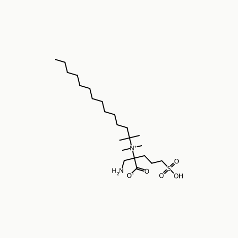 CCCCCCCCCCCCC(C)(C)[N+](C)(C)C(CN)(CCCS(=O)(=O)O)C(=O)[O-]